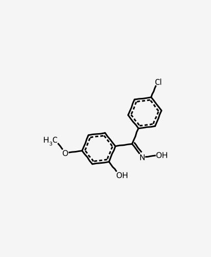 COc1ccc(/C(=N/O)c2ccc(Cl)cc2)c(O)c1